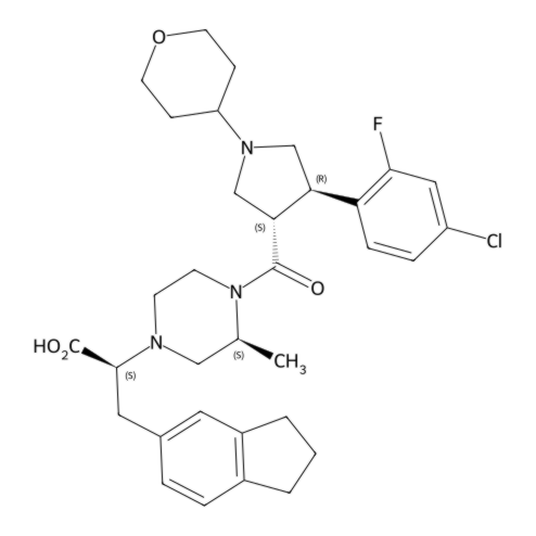 C[C@H]1CN([C@@H](Cc2ccc3c(c2)CCC3)C(=O)O)CCN1C(=O)[C@@H]1CN(C2CCOCC2)C[C@H]1c1ccc(Cl)cc1F